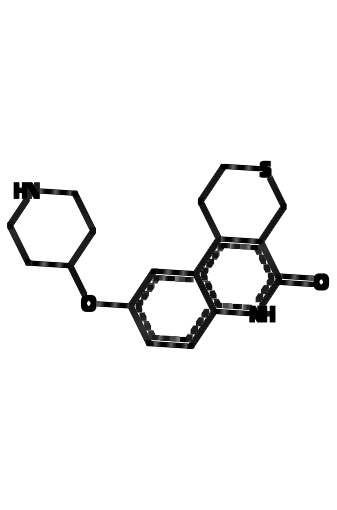 O=c1[nH]c2ccc(OC3CCNCC3)cc2c2c1CSCC2